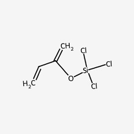 C=CC(=C)O[Si](Cl)(Cl)Cl